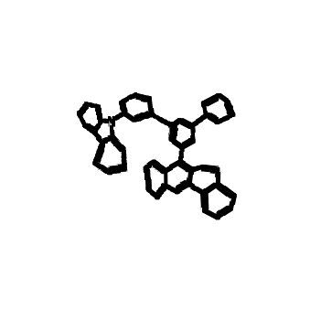 c1ccc(-c2cc(-c3cccc(-n4c5ccccc5c5ccccc54)c3)cc(-c3c4ccccc4cc4c3ccc3ccccc34)c2)cc1